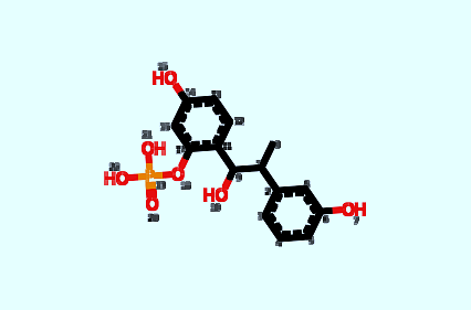 CC(c1cccc(O)c1)C(O)c1ccc(O)cc1OP(=O)(O)O